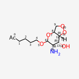 CC(=O)CCCCOC1OC2COO[C@@H]2[C@H](O)[C@@H]1N